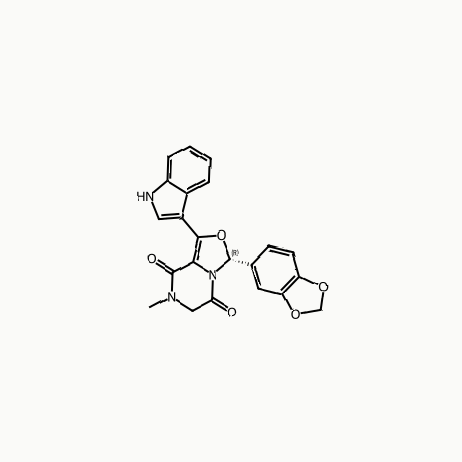 CN1CC(=O)N2C(=C(c3c[nH]c4ccccc34)O[C@@H]2c2ccc3c(c2)OCO3)C1=O